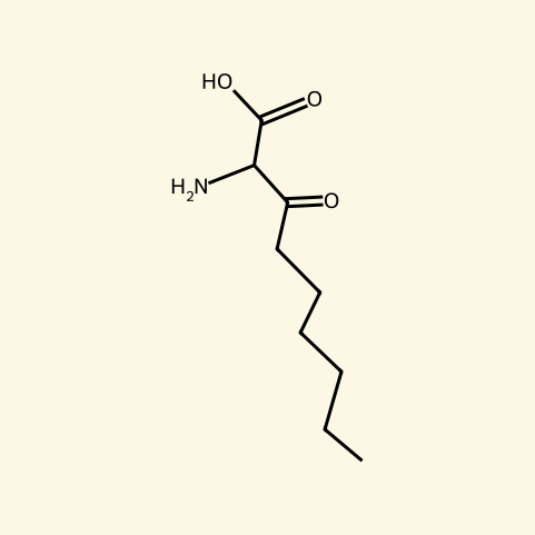 CCCCCCC(=O)C(N)C(=O)O